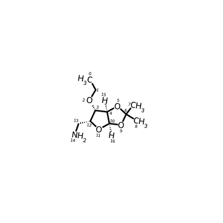 CCO[C@@H]1[C@H]2OC(C)(C)O[C@H]2O[C@@H]1CN